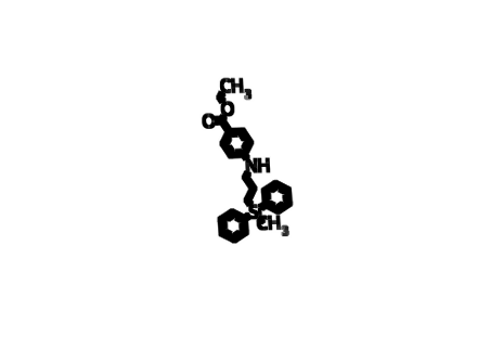 CCOC(=O)c1ccc(NCCC[Si](C)(c2ccccc2)c2ccccc2)cc1